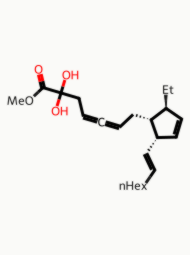 CCCCCCC=C[C@H]1C=C[C@H](CC)[C@H]1CC=C=CCC(O)(O)C(=O)OC